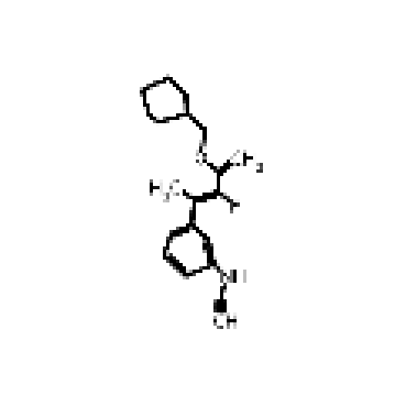 C#CNc1cccc(/C(C)=C(\F)C(=C)OCC2CCCCC2)c1